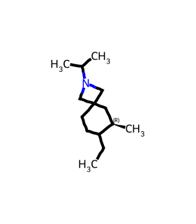 CCC1CCC2(C[C@H]1C)CN(C(C)C)C2